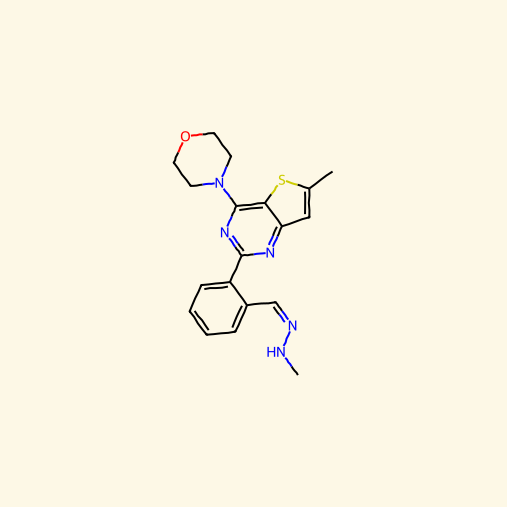 CN/N=C\c1ccccc1-c1nc(N2CCOCC2)c2sc(C)cc2n1